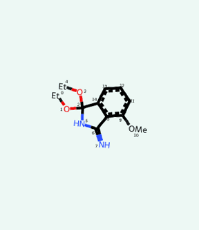 CCOC1(OCC)NC(=N)c2c(OC)cccc21